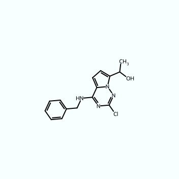 CC(O)c1ccc2c(NCc3ccccc3)nc(Cl)nn12